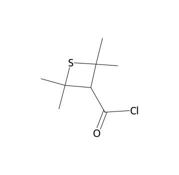 CC1(C)SC(C)(C)C1C(=O)Cl